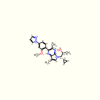 COc1cc(-n2cccn2)ccc1-c1nc2c(C)cn([C@@H](C3CC3)[C@H](C)O)c2nc1C